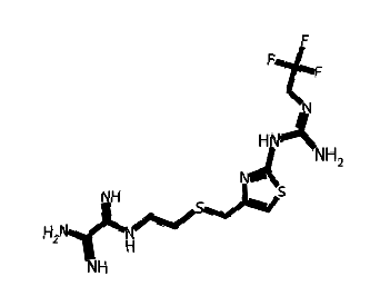 N=C(N)C(=N)NCCSCc1csc(N/C(N)=N\CC(F)(F)F)n1